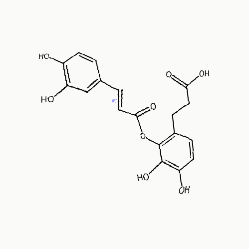 O=C(O)CCc1ccc(O)c(O)c1OC(=O)/C=C/c1ccc(O)c(O)c1